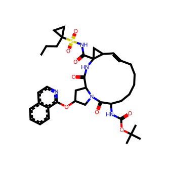 CCCC1(S(=O)(=O)NC(=O)C23CC2/C=C/CCCCCC(NC(=O)OC(C)(C)C)C(=O)N2CC(Oc4nccc5ccccc45)CC2C(=O)N3)CC1